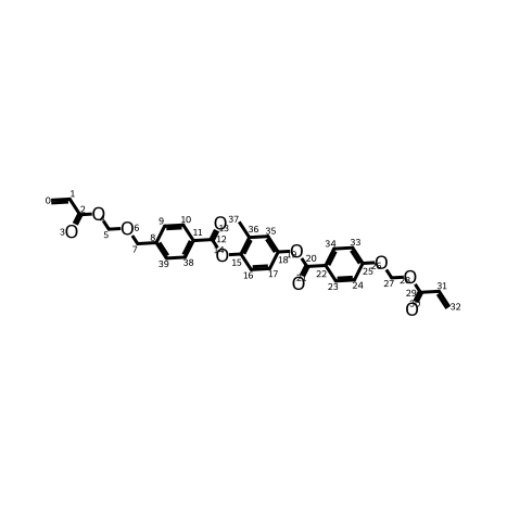 C=CC(=O)OCOCc1ccc(C(=O)Oc2ccc(OC(=O)c3ccc(OCOC(=O)C=C)cc3)cc2C)cc1